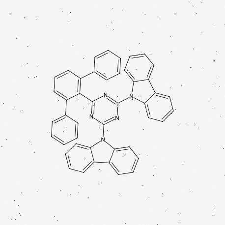 c1ccc(-c2cccc(-c3ccccc3)c2-c2nc(-n3c4ccccc4c4ccccc43)nc(-n3c4ccccc4c4ccccc43)n2)cc1